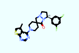 Cc1csc2ncnc(N3CCC4(CC3)CN3CC[C@@H](c5cc(F)cc(F)c5)N3C4=O)c12